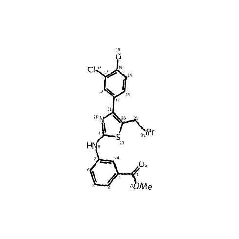 COC(=O)c1cccc(Nc2nc(-c3ccc(Cl)c(Cl)c3)c(CC(C)C)s2)c1